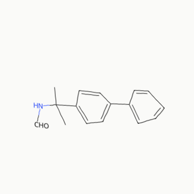 CC(C)(NC=O)c1ccc(-c2ccccc2)cc1